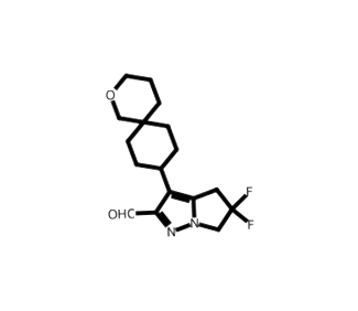 O=Cc1nn2c(c1C1CCC3(CCCOC3)CC1)CC(F)(F)C2